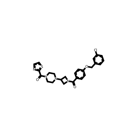 O=C(c1ccc(OCc2cccc(Cl)c2)cc1)N1CC(N2CCN(C(=O)c3nccs3)CC2)C1